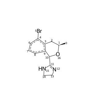 C[C@@H]1Cc2c(Br)cccc2C(C2=NCCN2)O1